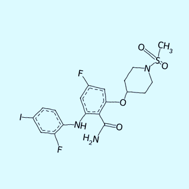 CS(=O)(=O)N1CCC(Oc2cc(F)cc(Nc3ccc(I)cc3F)c2C(N)=O)CC1